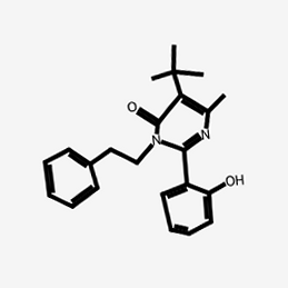 Cc1nc(-c2ccccc2O)n(CCc2ccccc2)c(=O)c1C(C)(C)C